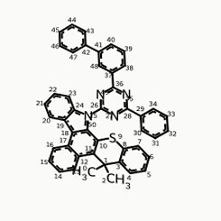 CC1(C)c2ccccc2Sc2c1c1ccccc1c1c3ccccc3n(-c3nc(-c4ccccc4)nc(-c4cccc(-c5ccccc5)c4)n3)c21